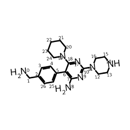 NCc1ccc(-c2c(N)nc(N3CCNCC3)nc2N2CCCCC2)cc1